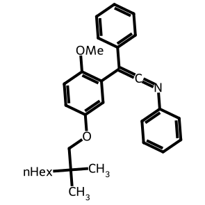 CCCCCCC(C)(C)COc1ccc(OC)c(C(=C=Nc2ccccc2)c2ccccc2)c1